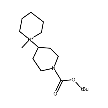 CC(C)(C)OC(=O)N1CCC([N+]2(C)CCCCC2)CC1